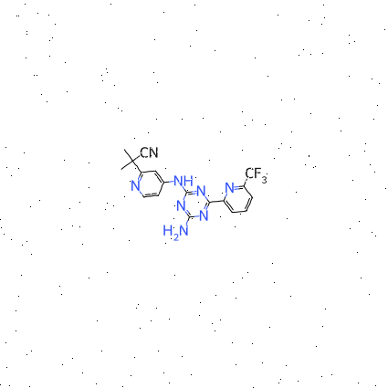 CC(C)(C#N)c1cc(Nc2nc(N)nc(-c3cccc(C(F)(F)F)n3)n2)ccn1